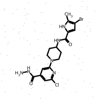 Cc1[nH]c(C(=O)NC2CCN(c3cc(C(=O)NN)cc(Cl)n3)CC2)cc1Br